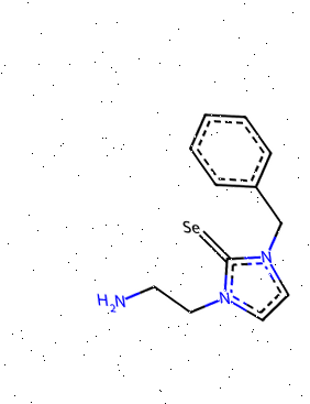 NCCn1ccn(Cc2ccccc2)c1=[Se]